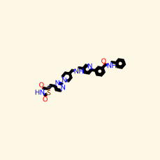 O=C1NC(=O)/C(=C/c2ccnc(N3CCC(CNCc4ccc(-c5cccc(C(=O)NCc6ccccc6)c5)nc4)CC3)n2)S1